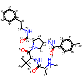 CN[C@@H](C)C(=O)N[C@H](C(=O)N1C[C@@H](NC(=O)c2ccc(C)cc2)C[C@H]1C(=O)NCCc1ccccc1)C(C)(C)C